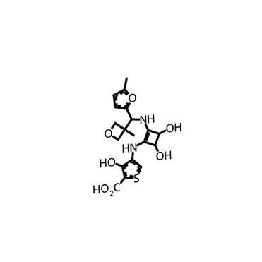 Cc1ccc(C(NC2=C(Nc3csc(C(=O)O)c3O)C(O)C2O)C2(C)COC2)o1